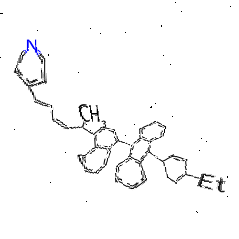 CCC1=CCC(c2c3ccccc3c(-c3ccc(C(C)/C=C\C=C\c4ccncc4)c4ccccc34)c3ccccc23)C=C1